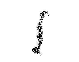 C=CC(=O)OCCCCCCOc1ccc(-c2ccc(OC(=O)c3ccc(OCCCCC4CC(=C)C(=O)O4)cc3)cc2)cc1